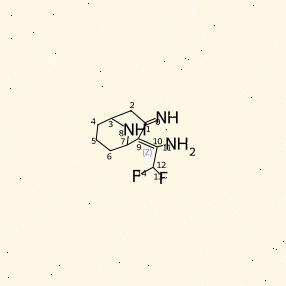 N=C1CC2CCCC(N2)/C1=C(/N)C(F)F